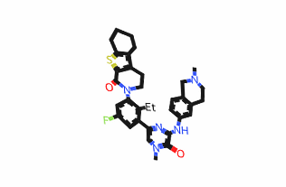 CCc1c(-c2cn(C)c(=O)c(Nc3ccc4c(c3)CCN(C)C4)n2)cc(F)cc1N1CCc2c(sc3c2CCCC3)C1=O